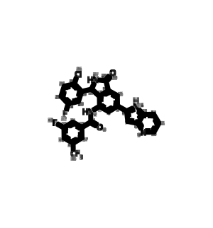 O=C(Nc1cc(-c2cc3ncccc3[nH]2)cc2c1C(c1cc(F)ccc1Cl)NC2=O)c1cc(F)cc(C(F)(F)F)c1